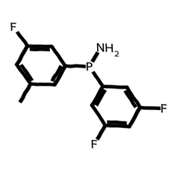 Cc1cc(F)cc(P(N)c2cc(F)cc(F)c2)c1